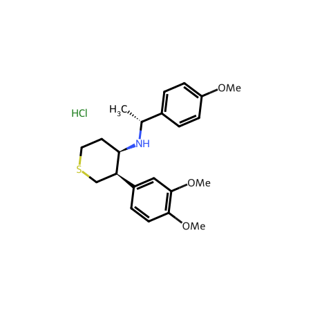 COc1ccc([C@@H](C)N[C@@H]2CCSC[C@@H]2c2ccc(OC)c(OC)c2)cc1.Cl